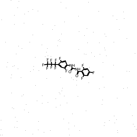 O=C(NC(=O)c1c(F)cc(F)cc1F)Nc1cc(F)c(C(F)(F)C(F)(F)C(F)(F)F)cc1F